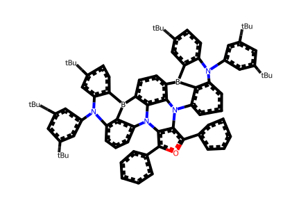 CC(C)(C)c1cc(N2c3ccc(C(C)(C)C)cc3B3c4ccc5c6c4N(c4cccc2c43)c2c(-c3ccccc3)oc(-c3ccccc3)c2N6c2cccc3c2B5c2ccc(C(C)(C)C)cc2N3c2cc(C(C)(C)C)cc(C(C)(C)C)c2)cc(C(C)(C)C)c1